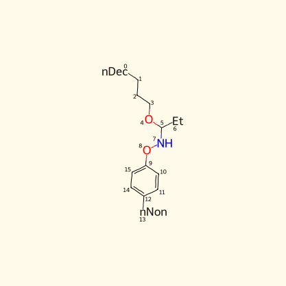 CCCCCCCCCCCCCOC(CC)NOc1ccc(CCCCCCCCC)cc1